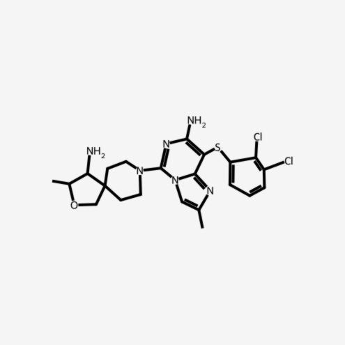 Cc1cn2c(N3CCC4(CC3)COC(C)C4N)nc(N)c(Sc3cccc(Cl)c3Cl)c2n1